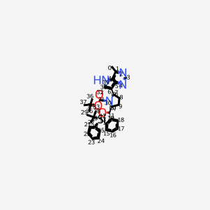 Cc1ncnc2c([C@H]3CC[C@@H](CO[Si](c4ccccc4)(c4ccccc4)C(C)(C)C)N3C(=O)OC(C)(C)C)c[nH]c12